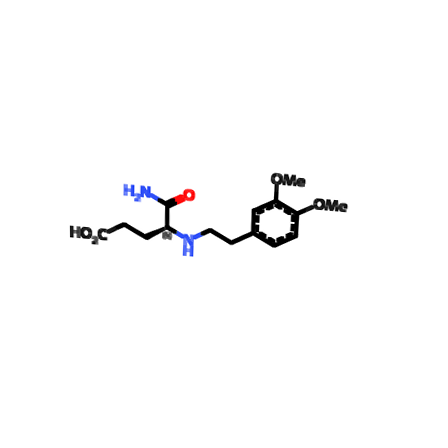 COc1ccc(CCN[C@@H](CCC(=O)O)C(N)=O)cc1OC